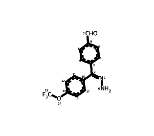 NN=C(c1ccc(C=O)cc1)c1ccc(OC(F)(F)F)cc1